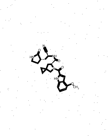 COc1cccc2[nH]c(C(=O)N3CC4(CC4)C[C@H]3C(=O)N[C@H](C#N)C[C@@H]3CCNC3=O)cc12